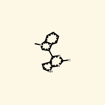 Cn1cc(-c2nc(Cl)nc3[nH]ccc23)c2ccccc21